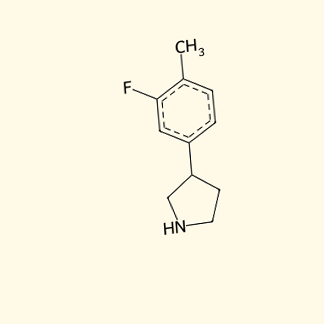 Cc1ccc(C2CCNC2)cc1F